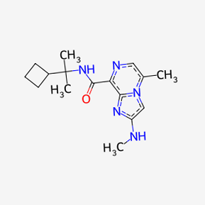 CNc1cn2c(C)cnc(C(=O)NC(C)(C)C3CCC3)c2n1